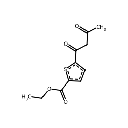 CCOC(=O)c1ccc(C(=O)CC(C)=O)s1